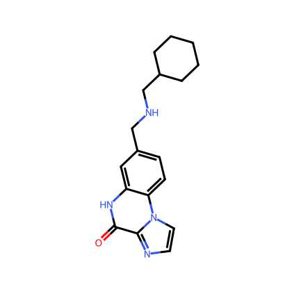 O=c1[nH]c2cc(CNCC3CCCCC3)ccc2n2ccnc12